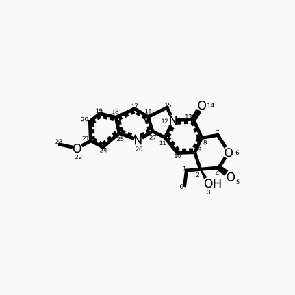 CC[C@@]1(O)C(=O)OCc2c1cc1n(c2=O)Cc2cc3ccc(OC)cc3nc2-1